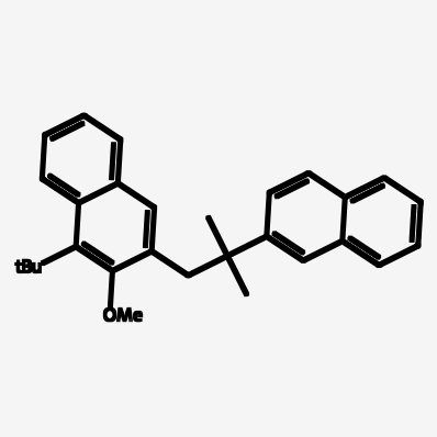 COc1c(CC(C)(C)c2ccc3ccccc3c2)cc2ccccc2c1C(C)(C)C